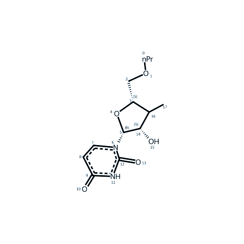 CCCOC[C@H]1O[C@@H](n2ccc(=O)[nH]c2=O)[C@@H](O)C1C